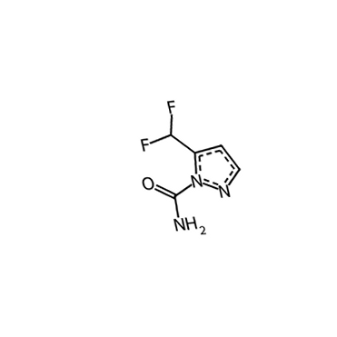 NC(=O)n1nccc1C(F)F